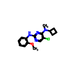 COc1c[c]ccc1Nc1ncc(Cl)c(N(C)C2CCC2)n1